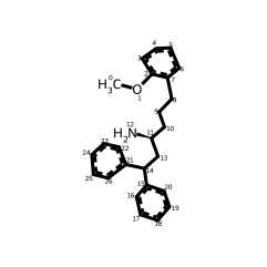 COc1ccccc1CCC[C@H](N)CC(c1ccccc1)c1ccccc1